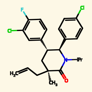 C=CC[C@@]1(C)C[C@H](c2ccc(F)c(Cl)c2)[C@@H](c2ccc(Cl)cc2)N(C(C)C)C1=O